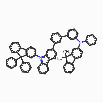 CC1(C)c2ccccc2-c2ccc(N(c3ccccc3)c3cccc(-c4cccc(-c5ccc6c7ccccc7n(-c7ccc8c(c7)C(c7ccccc7)(c7ccccc7)c7ccccc7-8)c6c5)c4)c3)cc21